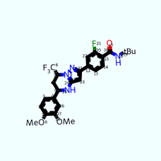 COc1ccc(C2CC(C(F)(F)F)n3nc(-c4ccc(C(=O)NC(C)(C)C)c(F)c4)cc3N2)cc1OC